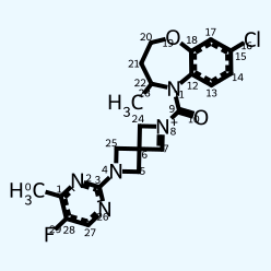 Cc1nc(N2CC3(C=[N+](C(=O)N4c5ccc(Cl)cc5OCCC4C)C3)C2)ncc1F